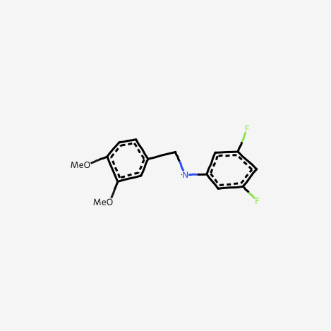 COc1ccc(C[N]c2cc(F)cc(F)c2)cc1OC